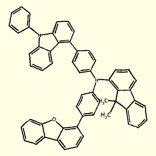 CC1(C)c2ccccc2-c2cccc(N(c3ccc(-c4cccc5c4oc4ccccc45)cc3)c3ccc(-c4cccc5c4c4ccccc4n5-c4ccccc4)cc3)c21